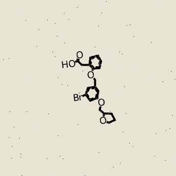 O=C(O)Cc1ccccc1OCc1cc(Br)cc(OCC2CCCO2)c1